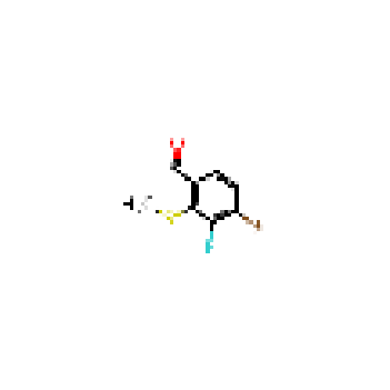 CSc1c(C=O)ccc(Br)c1F